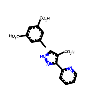 Cc1cc(C(=O)O)cc(C(=O)O)c1.O=C(O)c1c[nH]nc1-c1ccccn1